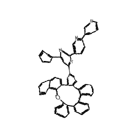 c1ccc(-c2cc(-c3ccc4c(c3)-c3ccc5ccccc5c3Oc3ccccc3-c3ccccc3-c3ccccc3-4)nc(-c3ccc(-c4cccnc4)nc3)n2)cc1